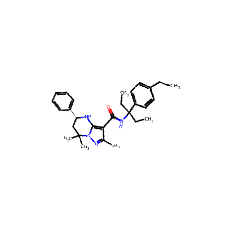 CCc1ccc(C(CC)(CC)NC(=O)c2c(C)nn3c2N[C@@H](c2ccccc2)CC3(C)C)cc1